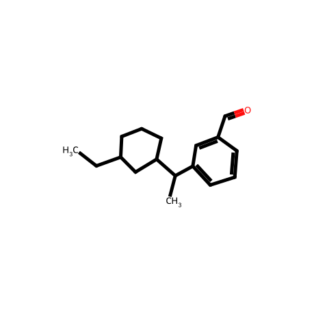 CCC1CCCC(C(C)c2cccc(C=O)c2)C1